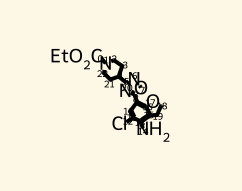 CCOC(=O)N1CCC(c2noc(-c3cc(Cl)c(N)c4c3OCC4)n2)CC1